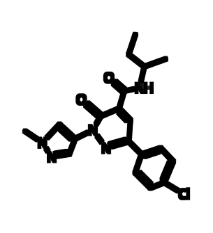 CCC(C)NC(=O)c1cc(-c2ccc(Cl)cc2)nn(-c2cnn(C)c2)c1=O